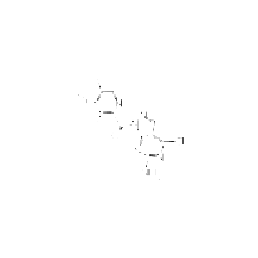 COc1c(C)cnc(C(=O)n2ncc3c(Cl)nc(N)nc32)c1C